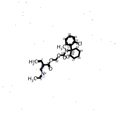 C=C/C(=C/N=C\C)C(=O)OCOC(=O)N(C)C1(c2ccccc2Cl)CCCCC1=O